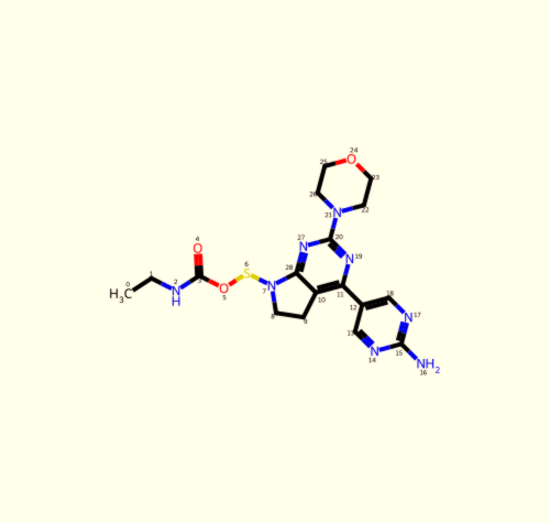 CCNC(=O)OSN1CCc2c(-c3cnc(N)nc3)nc(N3CCOCC3)nc21